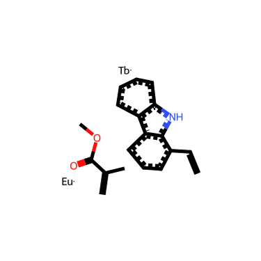 C=C(C)C(=O)OC.C=Cc1cccc2c1[nH]c1ccccc12.[Eu].[Tb]